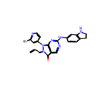 C=CCn1c(=O)c2cnc(Nc3ccc4c(c3)NCC4)nc2n1-c1ccnc(C(C)(C)C)c1